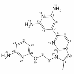 Cc1nc2ccc(-c3cc(N)nc(N)c3)nc2n1CCOc1cccc(N)n1